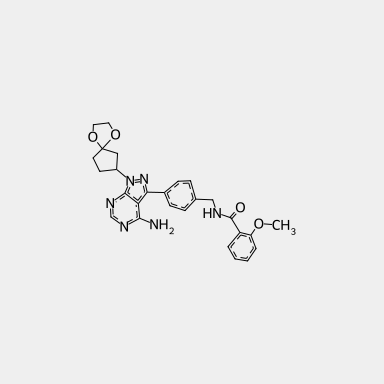 COc1ccccc1C(=O)NCc1ccc(-c2nn(C3CCC4(C3)OCCO4)c3ncnc(N)c23)cc1